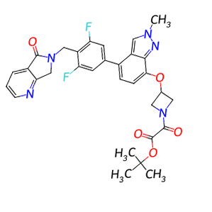 Cn1cc2c(-c3cc(F)c(CN4Cc5ncccc5C4=O)c(F)c3)ccc(OC3CN(C(=O)C(=O)OC(C)(C)C)C3)c2n1